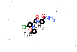 C=Nc1cccc(C(F)(F)F)c1Oc1cc([C@H]2CC(=O)N(c3cccc(C(N)=O)c3)C2)ccc1Cl